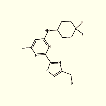 Cc1cc(NC2CCC(F)(F)CC2)nc(-c2nc(CF)cs2)n1